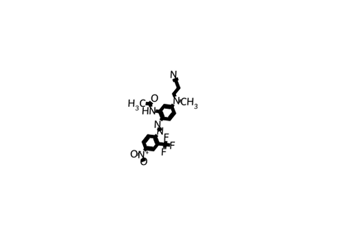 CC(=O)Nc1cc(N(C)CCC#N)ccc1N=Nc1ccc([N+](=O)[O-])cc1C(F)(F)F